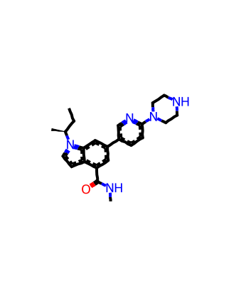 CC[C@H](C)n1ccc2c(C(=O)NC)cc(-c3ccc(N4CCNCC4)nc3)cc21